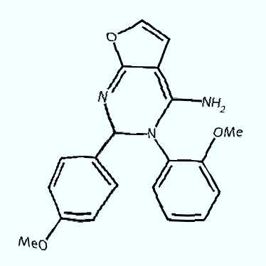 COc1ccc(C2N=c3occc3=C(N)N2c2ccccc2OC)cc1